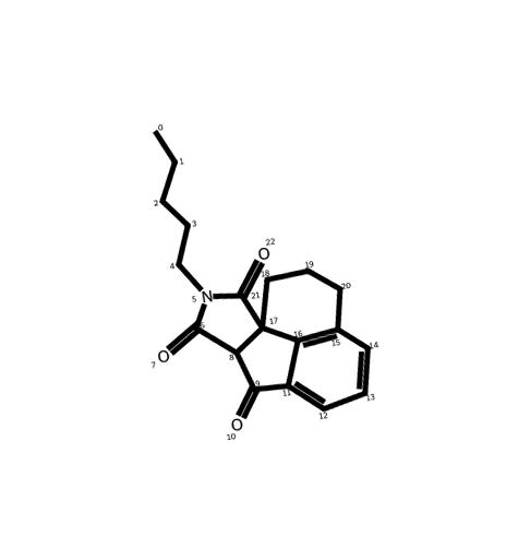 CCCCCN1C(=O)C2C(=O)c3cccc4c3C2(CCC4)C1=O